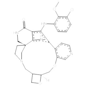 COc1c(Cl)cccc1Nc1c2[nH]c3c1C(=O)NC[C@@]31CCN(CC3CO[C@@H]3COc3cnccc3-2)C1